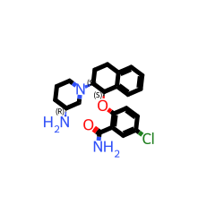 NC(=O)c1cc(Cl)ccc1O[C@H]1c2ccccc2CC[C@@H]1N1CCC[C@@H](N)C1